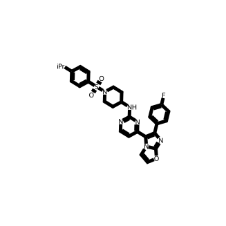 CC(C)c1ccc(S(=O)(=O)N2CCC(Nc3nccc(-c4c(-c5ccc(F)cc5)nc5occn45)n3)CC2)cc1